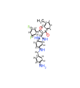 Cc1cccc(C(=O)C(C(=O)c2cc(F)cc(F)c2)=C2Nc3ccc(NCc4ccc(N)cc4)cc3N2)c1